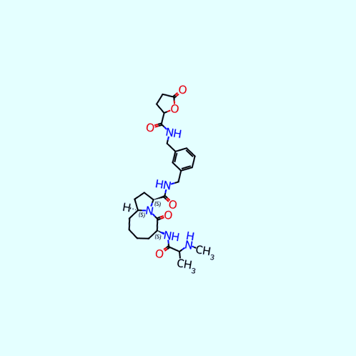 CNC(C)C(=O)N[C@H]1CCCC[C@H]2CC[C@@H](C(=O)NCc3cccc(CNC(=O)C4CCC(=O)O4)c3)N2C1=O